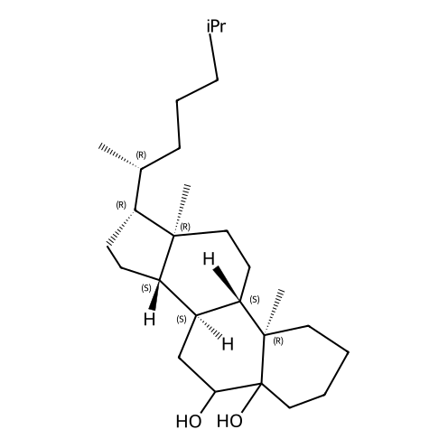 CC(C)CCC[C@@H](C)[C@H]1CC[C@H]2[C@@H]3CC(O)C4(O)CCCC[C@]4(C)[C@H]3CC[C@]12C